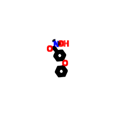 CN(O)C(=O)c1ccc(Oc2ccccc2)cc1